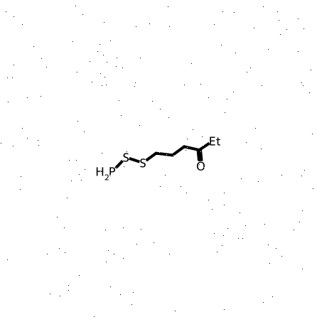 CCC(=O)CCCSSP